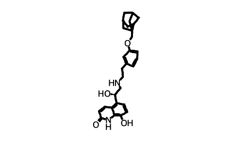 O=c1ccc2c([C@@H](O)CNCCc3cccc(OCC45CC6CC(CC4C6)C5)c3)ccc(O)c2[nH]1